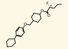 CCC[C@@H](F)C(=O)OC1CCC(COc2ccc(C3CC[CH]CC3)cc2)CC1